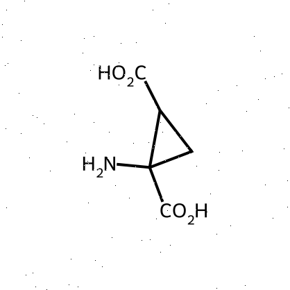 NC1(C(=O)O)CC1C(=O)O